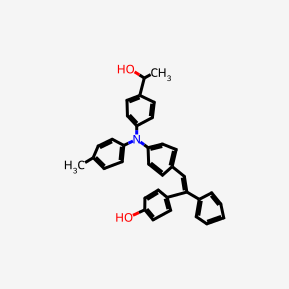 Cc1ccc(N(c2ccc(C=C(c3ccccc3)c3ccc(O)cc3)cc2)c2ccc(C(C)O)cc2)cc1